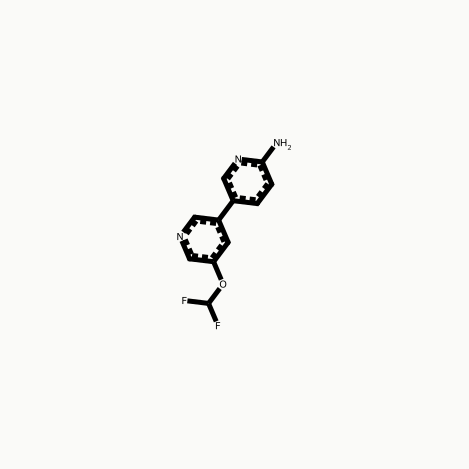 Nc1ccc(-c2cncc(OC(F)F)c2)cn1